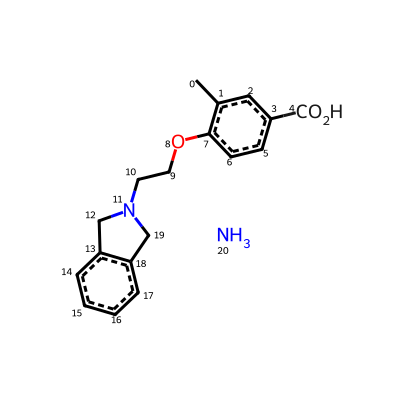 Cc1cc(C(=O)O)ccc1OCCN1Cc2ccccc2C1.N